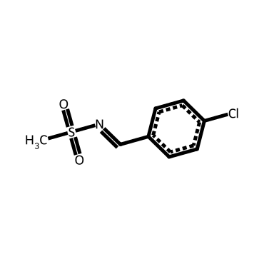 CS(=O)(=O)/N=C/c1ccc(Cl)cc1